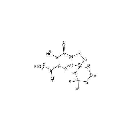 CCOC(=O)C(Cl)c1cc2n(c(=O)c1C#N)CCC21CC(C)(C)COO1